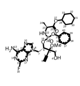 C#CC(CO)(OC)[C@H](Cn1cnc2c(N)nc(F)nc21)OP(=O)(N[C@@H](C)C(=O)OC1CCCCC1)Oc1ccccc1